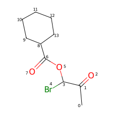 CC(=O)C(Br)OC(=O)C1CCCCC1